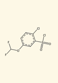 O=S(=O)(Cl)c1cc(OC(F)F)ccc1Cl